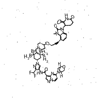 BC1(B)C[C@H](n2cc(NC(=O)c3cnn4ccc(N5C[C@H]6C[C@@H]5CO6)nc34)c(C(F)F)n2)CC(B)(B)[C@H]1CN1CCC(OCC#Cc2cccc3c2n(C)c(=O)n3C2CCC(=O)NC2=O)CC1